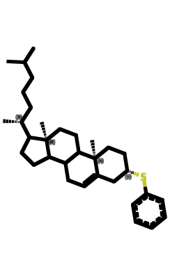 CC(C)CCC[C@@H](C)C1CCC2C3CC=C4C[C@@H](Sc5ccccc5)CC[C@]4(C)C3CC[C@@]21C